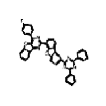 Fc1ccc(-c2nc(-c3cccc4c3oc3ccc(-c5nc(-c6ccccc6)nc(-c6ccccc6)n5)cc34)nc3c2sc2ccccc23)cc1